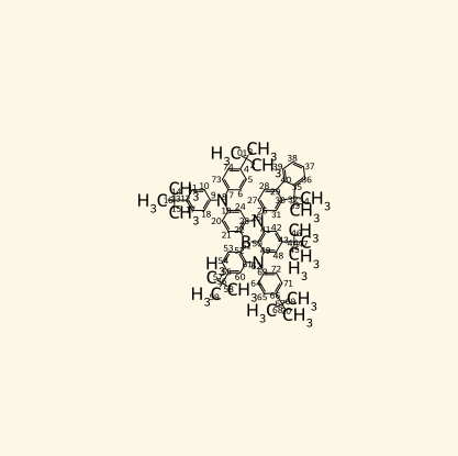 CC(C)(C)c1ccc(N(c2ccc(C(C)(C)C)cc2)c2ccc3c(c2)N(c2ccc4c(c2)C(C)(C)c2ccccc2-4)c2cc(C(C)(C)C)cc4c2B3c2ccc(C(C)(C)C)cc2N4c2ccc(C(C)(C)C)cc2)cc1